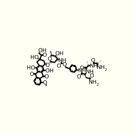 COc1cccc2c1C(=O)c1c(O)c3c(c(O)c1C2=O)C[C@@](O)(C(=O)CO)C[C@@H]3O[C@H]1C[C@H](NC(=O)OCc2ccc(NC(=O)[C@H](CC(N)=O)NC(=O)[C@H](C)NC(=O)[C@H](C)N)cc2)[C@H](O)[C@H](C)O1